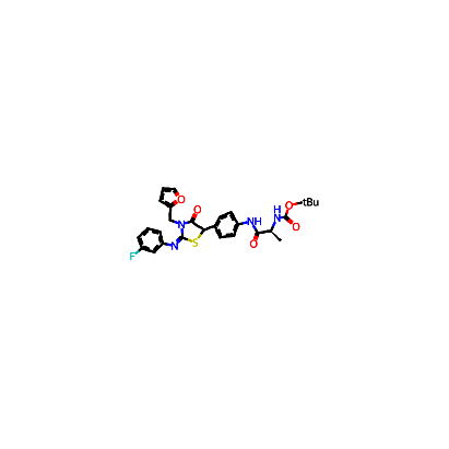 C[C@H](NC(=O)OC(C)(C)C)C(=O)Nc1ccc(C2S/C(=N/c3cccc(F)c3)N(Cc3ccco3)C2=O)cc1